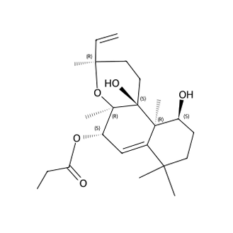 C=C[C@@]1(C)CC[C@@]2(O)[C@](C)(O1)[C@@H](OC(=O)CC)C=C1C(C)(C)CC[C@H](O)[C@@]12C